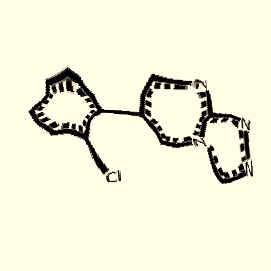 Clc1ccccc1-c1cnc2nncn2c1